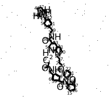 C=CC(=O)NCc1ccc(C(=O)Nc2ccccc2Oc2ccc(OCCCCn3ccc4cc(C(=O)NCCc5ccc(N6C[C@H]7CC[C@@H](C6)N7)cc5)cnc43)cc2)cc1